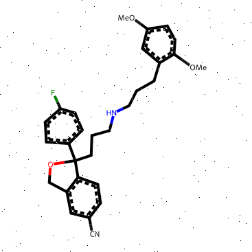 COc1ccc(OC)c(CCCNCCCC2(c3ccc(F)cc3)OCc3cc(C#N)ccc32)c1